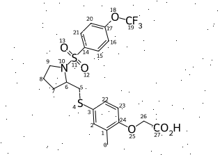 Cc1cc(SCC2CCCN2S(=O)(=O)c2ccc(OC(F)(F)F)cc2)ccc1OCC(=O)O